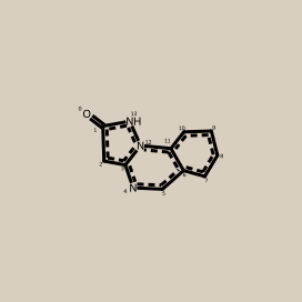 O=c1cc2ncc3ccccc3n2[nH]1